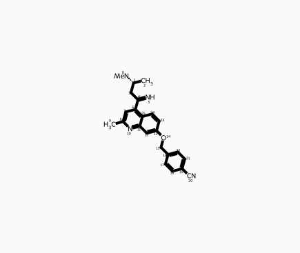 CN[C@H](C)CC(=N)c1cc(C)nc2cc(OCc3ccc(C#N)cc3)ccc12